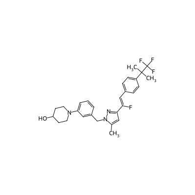 Cc1cc(/C(F)=C/c2ccc(C(C)(C)C(F)(F)F)cc2)nn1Cc1cccc(N2CCC(O)CC2)c1